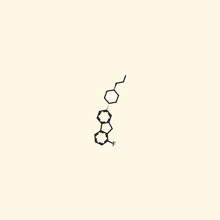 CCC[C@H]1CC[C@H](c2ccc3c(c2)Cc2c(F)cccc2-3)CC1